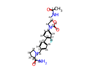 CC(=O)NC[C@H]1CN(c2ccc(-c3ccc(CN4CCC[C@@H]4C(N)=O)cc3)c(F)c2)C(=O)O1